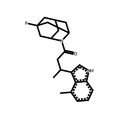 Cc1cccc2[nH]cc(C(C)CC(=O)N3C4CC5CC3CC(F)(C5)C4)c12